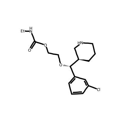 CCNC(=O)OCCO[C@@H](c1cccc(Cl)c1)[C@@H]1CCCNC1